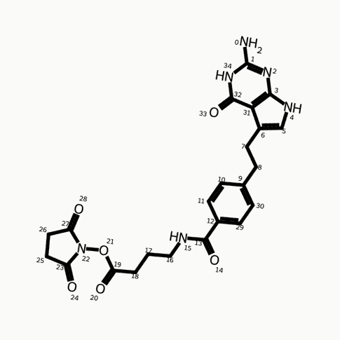 Nc1nc2[nH]cc(CCc3ccc(C(=O)NCCCC(=O)ON4C(=O)CCC4=O)cc3)c2c(=O)[nH]1